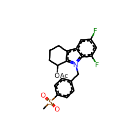 CC(=O)OC1CCCc2c1n(Cc1ccc(S(C)(=O)=O)cc1)c1c(F)cc(F)cc21